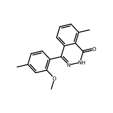 COc1cc(C)ccc1-c1n[nH]c(=O)c2c(C)cccc12